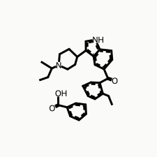 CCc1ccccc1C(=O)c1ccc2[nH]cc(C3CCN(C(C)CC)CC3)c2c1.O=C(O)c1ccccc1